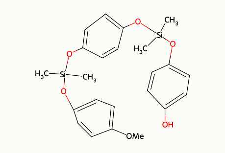 COc1ccc(O[Si](C)(C)Oc2ccc(O[Si](C)(C)Oc3ccc(O)cc3)cc2)cc1